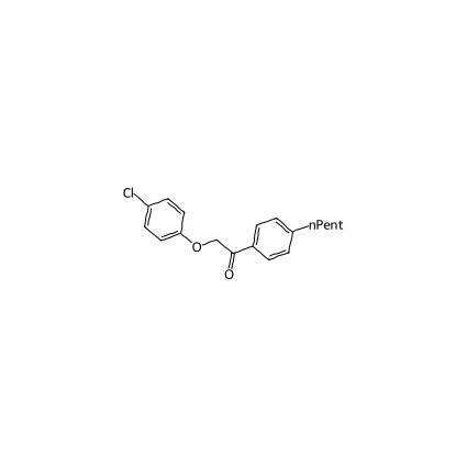 CCCCCc1ccc(C(=O)COc2ccc(Cl)cc2)cc1